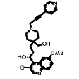 COc1ccc2ncc(Cl)c([C@H](O)CCC3(CO)CCN(CC#Cc4ccncc4)CC3)c2c1